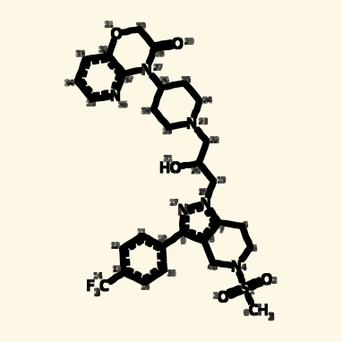 CS(=O)(=O)N1CCc2c(c(-c3ccc(C(F)(F)F)cc3)nn2CC(O)CN2CCC(N3C(=O)COc4cccnc43)CC2)C1